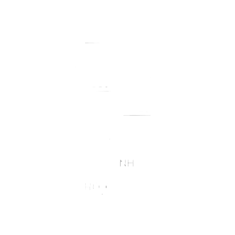 O=C(O)NCc1cccc2ccccc12